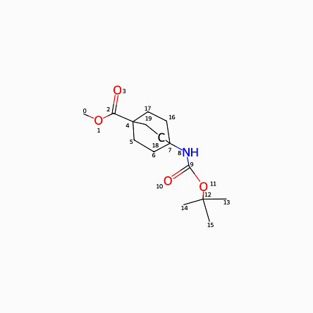 COC(=O)C12CCC(NC(=O)OC(C)(C)C)(CC1)CC2